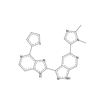 Cc1ncc(-c2cc3c(-c4nc5c(-c6cccs6)nccc5[nH]4)n[nH]c3cn2)n1C